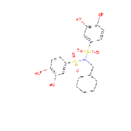 O=S(=O)(c1ccc(O)c(O)c1)N(CC1CCCCC1)S(=O)(=O)c1ccc(O)c(O)c1